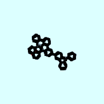 c1ccc(N2B3c4c(cccc4-c4cc(-c5ccc6c(c5)c5ccccc5n6-c5ccccc5)ccc4N3c3ccccc3)-c3ccccc32)cc1